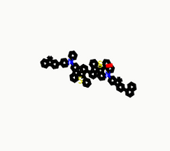 CC1(C)c2ccccc2-c2ccc(-c3ccc(N(c4ccccc4)c4ccc5c(c4)-c4ccccc4C54c5cccc(-c6cccc7c6-c6ccccc6C76c7cccc(N(c8ccccc8)c8ccc9c(c8)C(C)(C)c8cc(-c%10cccc%11ccccc%10%11)ccc8-9)c7-c7c6sc6ccccc76)c5-c5c4sc4ccccc54)cc3)cc21